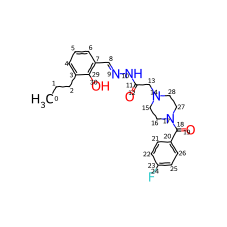 CCCc1cccc(C=NNC(=O)CN2CCN(C(=O)c3ccc(F)cc3)CC2)c1O